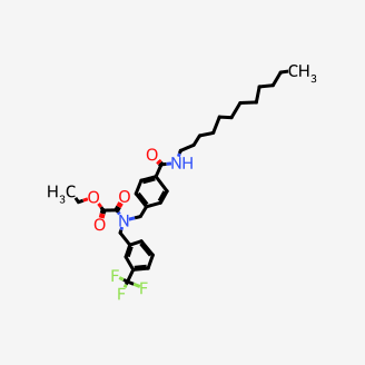 CCCCCCCCCCCCNC(=O)c1ccc(CN(Cc2cccc(C(F)(F)F)c2)C(=O)C(=O)OCC)cc1